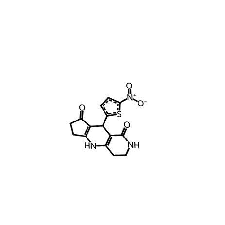 O=C1CCC2=C1C(c1ccc([N+](=O)[O-])s1)C1=C(CCNC1=O)N2